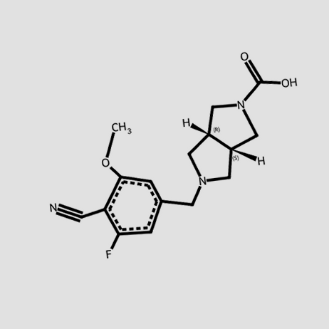 COc1cc(CN2C[C@@H]3CN(C(=O)O)C[C@@H]3C2)cc(F)c1C#N